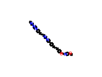 CC(C)(C)OC1CCN(CCOc2ccc(C(C)(C)CCC(C)(C)c3ccc(C4CCN(C5CN(C(C)(C)CCC(C)(C)c6ccc(N7CCN(C8CN(C(C)(C)C)C8)CC7)cc6)C5)CC4)cc3)cc2)CC1